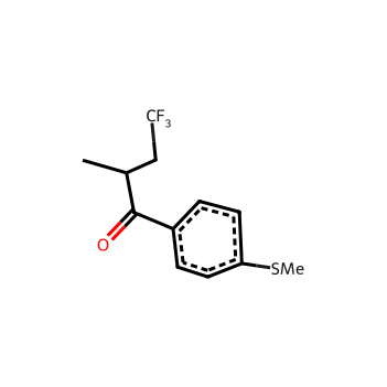 CSc1ccc(C(=O)C(C)CC(F)(F)F)cc1